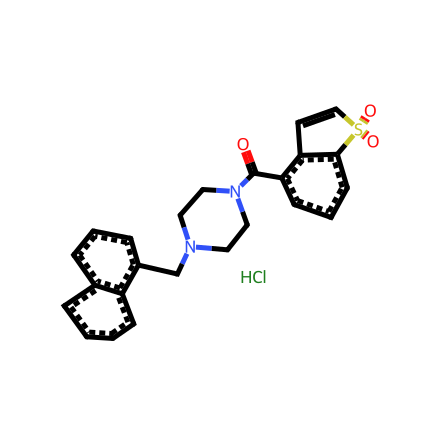 Cl.O=C(c1cccc2c1C=CS2(=O)=O)N1CCN(Cc2cccc3ccccc23)CC1